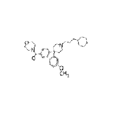 COc1cccc(C2(c3ccc(C(=O)N4CCOCC4)cc3)CCN(CCCC3CCCCC3)CC2)c1